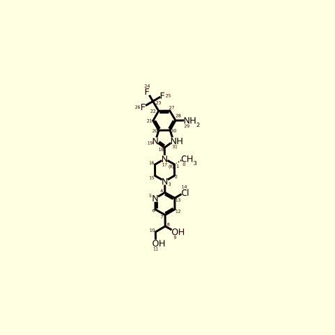 C[C@@H]1CN(c2ncc(C(O)CO)cc2Cl)CCN1c1nc2cc(C(F)(F)F)cc(N)c2[nH]1